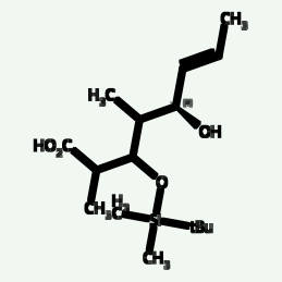 CC=C[C@@H](O)C(C)C(O[Si](C)(C)C(C)(C)C)C(C)C(=O)O